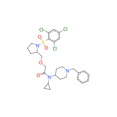 O=C(COCC1CCCN1S(=O)(=O)c1c(Cl)cc(Cl)cc1Cl)N(C1CC1)C1CCN(Cc2ccccc2)CC1